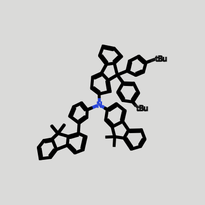 CC(C)(C)c1ccc(C2(c3ccc(C(C)(C)C)cc3)c3ccccc3-c3ccc(N(c4cccc(-c5cccc6c5C(C)(C)c5ccccc5-6)c4)c4ccc5c(c4)C(C)(C)c4ccccc4-5)cc32)cc1